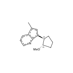 CO[C@H]1CCC[C@@H]1n1cc(C)c2cccnc21